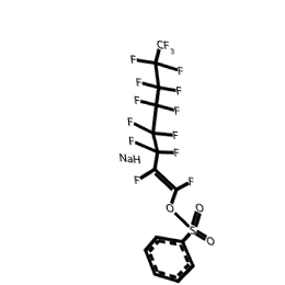 O=S(=O)(OC(F)=C(F)C(F)(F)C(F)(F)C(F)(F)C(F)(F)C(F)(F)C(F)(F)F)c1ccccc1.[NaH]